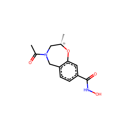 CC(=O)N1Cc2ccc(C(=O)NO)cc2O[C@@H](C)C1